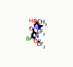 CC(O)(CNC(=O)c1cc(Br)c(OCC(F)(F)F)nc1C(F)(F)F)C1CC1